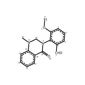 CCOc1cccc(C=O)c1N1CN(C)c2ccccc2C1=O